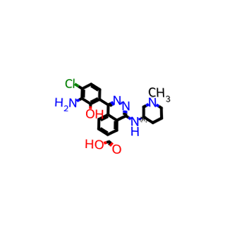 CN1CCC[C@@H](Nc2nnc(-c3ccc(Cl)c(N)c3O)c3ccccc23)C1.O=CO